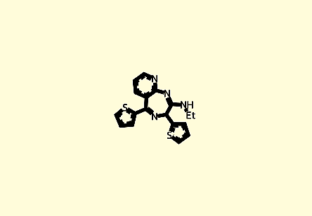 CCNC1=Nc2ncccc2C(c2cccs2)=NC1c1cccs1